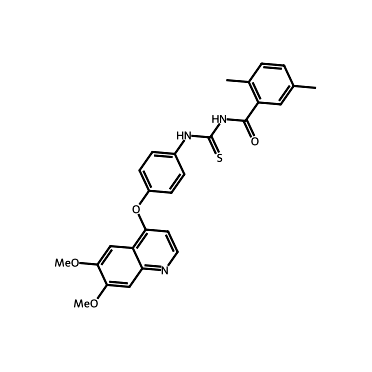 COc1cc2nccc(Oc3ccc(NC(=S)NC(=O)c4cc(C)ccc4C)cc3)c2cc1OC